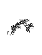 C=CC(=O)Nc1ccc(CCn2c(C#N)cc3c(C)c(CN4CCC(Nc5ncnc6sc(CC(F)(F)F)cc56)CC4)ccc32)cc1P(=O)(C(C)C)C(C)C